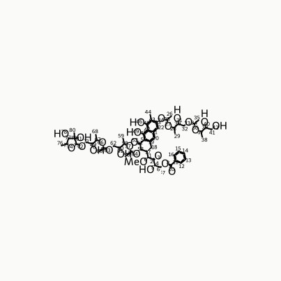 CO[C@H](C(=O)[C@@H](O)[C@@H](C)OC(=O)c1ccccc1)[C@@H]1Cc2cc3cc(OC(C)OC(C)[C@@H](O)COC(C)OC(C)[C@@H](O)CO)c(C)c(O)c3c(O)c2C(=O)[C@H]1OC(C)OC(C)[C@@H](O)COC(C)OC(C)[C@H](O)COC1OC(C)[C@@H](O)C1(C)O